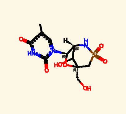 Cc1cn([C@@H]2O[C@]3(CO)CS(=O)(=O)N[C@H]2C3O)c(=O)[nH]c1=O